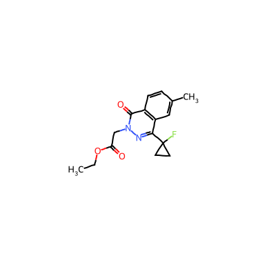 CCOC(=O)Cn1nc(C2(F)CC2)c2cc(C)ccc2c1=O